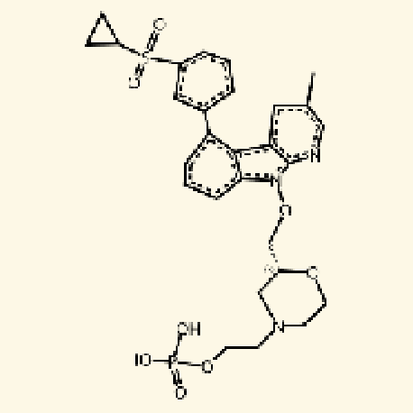 Cc1cnc2c(c1)c1c(-c3cccc(S(=O)(=O)C4CC4)c3)cccc1n2OC[C@H]1CN(CCOP(=O)(O)O)CCO1